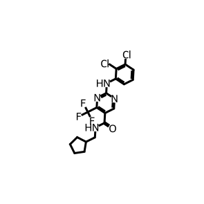 O=C(NCC1CCCC1)c1cnc(Nc2cccc(Cl)c2Cl)nc1C(F)(F)F